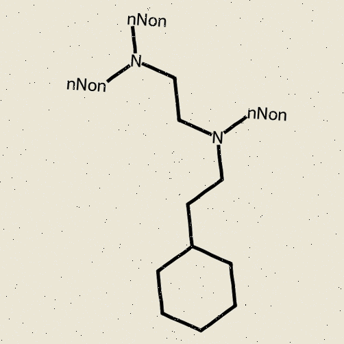 CCCCCCCCCN(CCCCCCCCC)CCN(CCCCCCCCC)CCC1CCCCC1